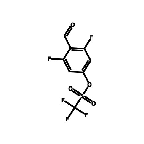 O=Cc1c(F)cc(OS(=O)(=O)C(F)(F)F)cc1F